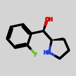 O[C@H](c1ccccc1F)[C@@H]1CCCN1